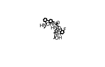 CCNC(=O)c1ccccc1-c1ccc(CNC(=O)C(COCc2c(F)cccc2F)NC(=O)CC(C)(C)NCC(C)O)cc1